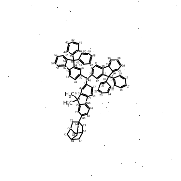 CC1(C)c2cc(N(c3ccc4c(c3)C(c3ccccc3)(c3ccccc3)c3ccccc3-4)c3ccc4c(c3)C(c3ccccc3)(c3ccccc3)c3ccccc3-4)ccc2-c2ccc(C34CC5CC(CC(C5)C3)C4)cc21